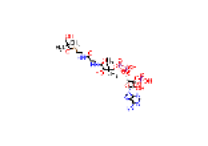 CC(C)(CO)C(=O)SCCNC(=O)CCNC(=O)[C@H](O)C(C)(C)COP(=O)(O)OP(=O)(O)OC[C@H]1O[C@@H](n2cnc3c(N)ncnc32)[C@H](O)[C@@H]1OP(=O)(O)O